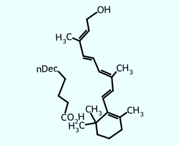 CC(C=CC1=C(C)CCCC1(C)C)=CC=CC(C)=CCO.CCCCCCCCCCCCCC(=O)O